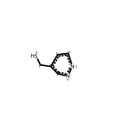 SCc1ccnnc1